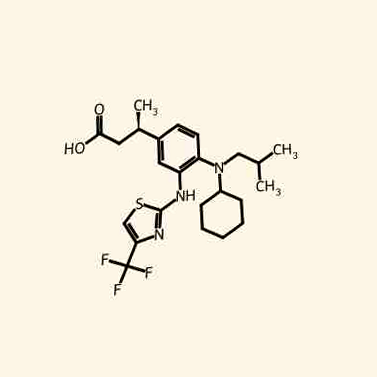 CC(C)CN(c1ccc([C@H](C)CC(=O)O)cc1Nc1nc(C(F)(F)F)cs1)C1CCCCC1